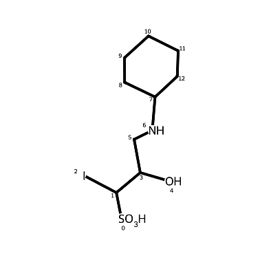 O=S(=O)(O)C(I)C(O)CNC1CCCCC1